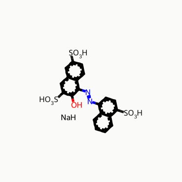 O=S(=O)(O)c1ccc2c(/N=N/c3ccc(S(=O)(=O)O)c4ccccc34)c(O)c(S(=O)(=O)O)cc2c1.[NaH]